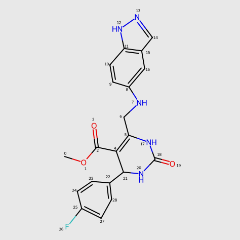 COC(=O)C1=C(CNc2ccc3[nH]ncc3c2)NC(=O)NC1c1ccc(F)cc1